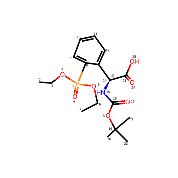 CCOP(=O)(OCC)c1ccccc1[C@H](NC(=O)OC(C)(C)C)C(=O)O